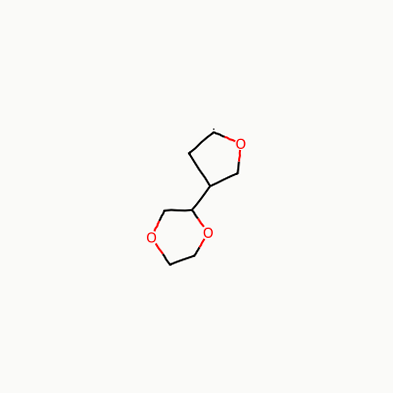 [CH]1CC(C2COCCO2)CO1